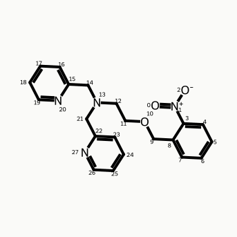 O=[N+]([O-])c1ccccc1COCCN(Cc1ccccn1)Cc1ccccn1